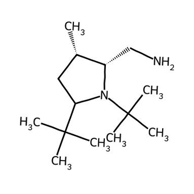 C[C@H]1CC(C(C)(C)C)N(C(C)(C)C)[C@H]1CN